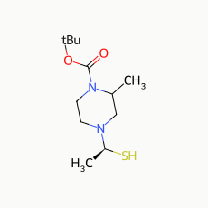 CC1CN([C@H](C)S)CCN1C(=O)OC(C)(C)C